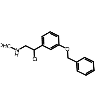 O=CNCC(Cl)c1cccc(OCc2ccccc2)c1